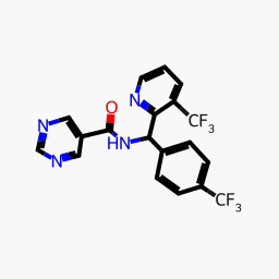 O=C(NC(c1ccc(C(F)(F)F)cc1)c1ncccc1C(F)(F)F)c1cncnc1